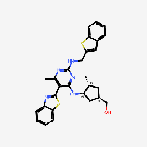 Cc1nc(NCc2cc3ccccc3s2)nc(N[C@@H]2C[C@H](CO)C[C@H]2C)c1-c1nc2ccccc2s1